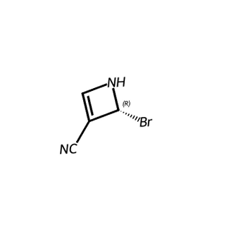 N#CC1=CN[C@@H]1Br